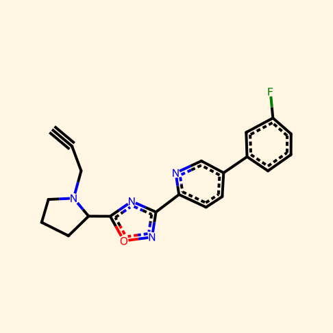 C#CCN1CCCC1c1nc(-c2ccc(-c3cccc(F)c3)cn2)no1